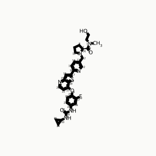 CN(CCO)C(=O)[C@@H]1CCCN1Cc1ccc(-c2cc3nccc(Oc4ccc(NC(=O)NC5CC5)cc4F)c3s2)nc1